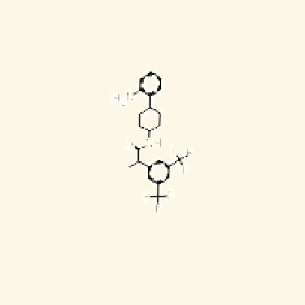 CC(C(=O)NC1CCC(c2ccccc2N)CC1)c1cc(C(F)(F)F)cc(C(F)(F)F)c1